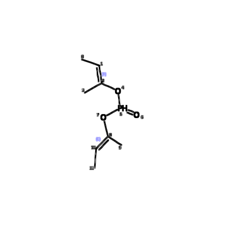 C/C=C(\C)O[PH](=O)O/C(C)=C/C